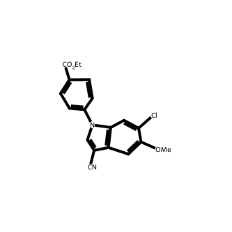 CCOC(=O)c1ccc(-n2cc(C#N)c3cc(OC)c(Cl)cc32)cc1